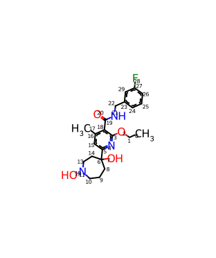 CCOc1nc(C2(O)CCCN(O)CC2)cc(C)c1C(=O)NCc1cccc(F)c1